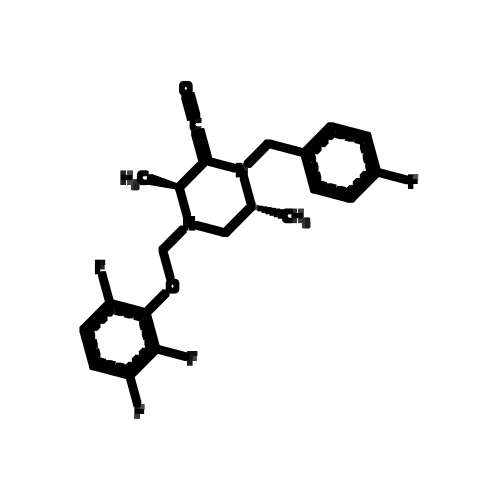 C[C@@H]1CN(COc2c(F)ccc(F)c2F)[C@@H](C)C(=C=O)N1Cc1ccc(F)cc1